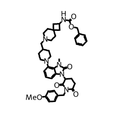 COc1ccc(CN2C(=O)CCC(n3c(=O)n(C)c4c(N5CCC(CN6CCC7(CC6)CC(NC(=O)OCc6ccccc6)C7)CC5)cccc43)C2=O)cc1